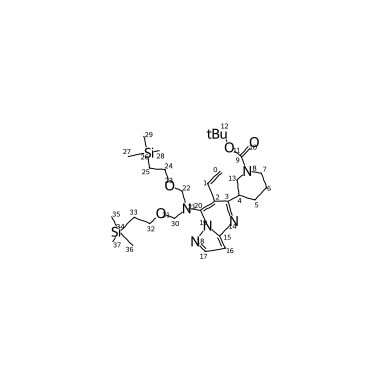 C=Cc1c(C2CCCN(C(=O)OC(C)(C)C)C2)nc2ccnn2c1N(COCC[Si](C)(C)C)COCC[Si](C)(C)C